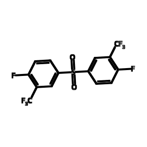 O=S(=O)(c1ccc(F)c(C(F)(F)F)c1)c1ccc(F)c(C(F)(F)F)c1